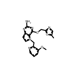 COc1cccnc1Cn1ccc2nc(N)nc(OCc3ncc(C)o3)c21